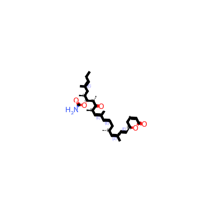 CC/C=C(\C)C[C@H](C)[C@@H](OC(N)=O)[C@H](C)C(=O)[C@H](C)/C=C(C)/C=C/C[C@@H](C)/C=C(C)\C=C\[C@H]1CC=CC(=O)O1